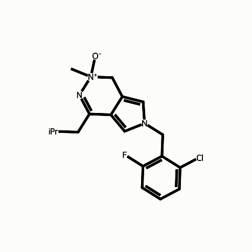 CC(C)CC1=N[N+](C)([O-])Cc2cn(Cc3c(F)cccc3Cl)cc21